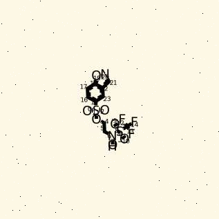 O=S(=O)(OCC[NH+]([O-])S(=O)(=O)C(F)(F)F)c1ccc2oncc2c1